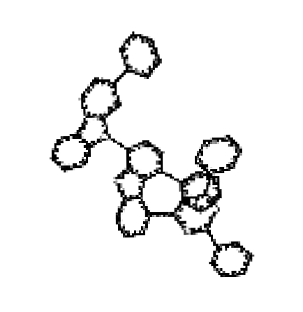 c1ccc(-c2ccc3c4ccccc4n(-c4ccc(-c5ccccc5)c5c4oc4cccc(-c6nc(-c7ccccc7)nc(-c7ccccc7)n6)c45)c3c2)cc1